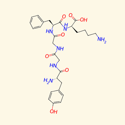 NCCCC[C@@H](NC(=O)[C@H](Cc1ccccc1)NC(=O)CNC(=O)CNC(=O)[C@@H](N)Cc1ccc(O)cc1)C(=O)O